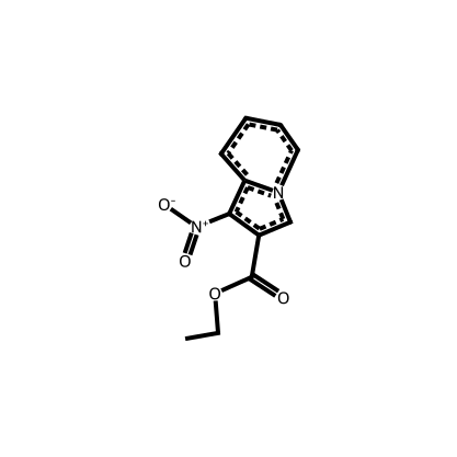 CCOC(=O)c1cn2ccccc2c1[N+](=O)[O-]